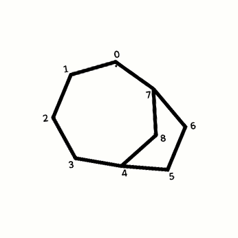 [CH]1CCCC2CCC1C2